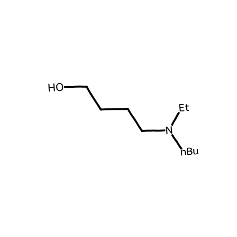 CCCCN(CC)CCCCO